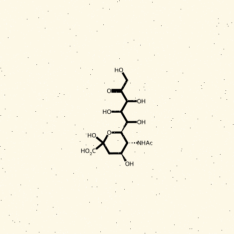 CC(=O)N[C@@H]1[C@@H](O)CC(O)(C(=O)O)O[C@H]1C(O)C(O)C(O)C(=O)CO